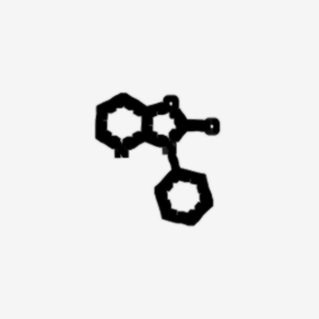 O=c1oc2cccnc2n1-c1ccccc1